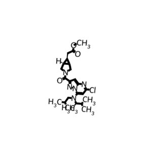 COC(=O)C[C@H]1C2CN(C(=O)c3cc4nc(Cl)cc(N(CC(C)C)[C@H](C)C(C)C)n4n3)C[C@H]21